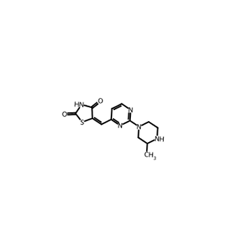 CC1CN(c2nccc(/C=C3/SC(=O)NC3=O)n2)CCN1